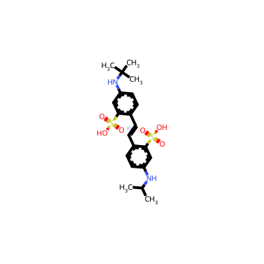 CC(C)Nc1ccc(/C=C/c2ccc(NC(C)(C)C)cc2S(=O)(=O)O)c(S(=O)(=O)O)c1